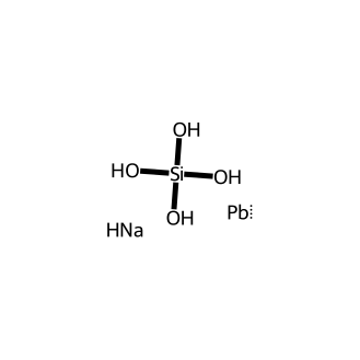 O[Si](O)(O)O.[NaH].[Pb]